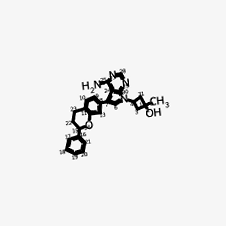 CC1(O)CC(n2cc(-c3ccc4c(c3)OC(c3ccccc3)CC4)c3c(N)ncnc32)C1